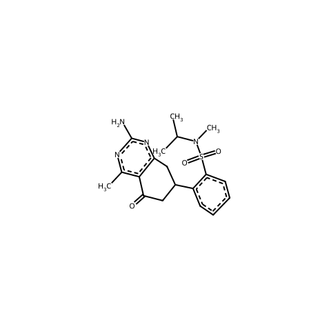 Cc1nc(N)nc2c1C(=O)CC(c1ccccc1S(=O)(=O)N(C)C(C)C)C2